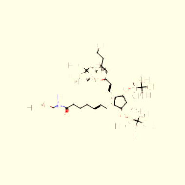 CCCCC[C@@H](C=C[C@@H]1[C@@H](CC=CCCCC(=O)NCOC)[C@@H](O[Si](C)(C)C(C)(C)C)C[C@H]1O[Si](C)(C)C(C)(C)C)O[Si](C)(C)C(C)(C)C